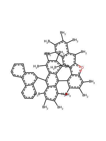 Bc1c(B)c(-c2c3c(B)c(B)c(B)c(B)c3c(-c3cc4ccccc4c4ccccc34)c3c(B)c(B)c(B)c(B)c23)c2c(oc3c(B)c4c(B)c(B)c(B)c(B)c4c(B)c32)c1B